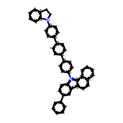 c1ccc(-c2ccc3c(c2)c2ccc4ccccc4c2n3-c2ccc(-c3ccc(-c4ccc(N5CCc6ccccc65)cc4)cc3)cc2)cc1